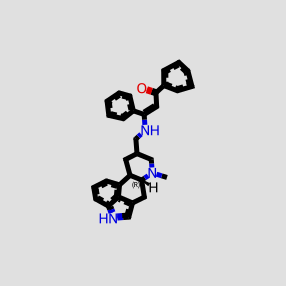 CN1CC(CNC(=CC(=O)c2ccccc2)c2ccccc2)CC2c3cccc4[nH]cc(c34)C[C@H]21